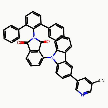 N#Cc1cncc(-c2ccc3c(c2)c2ccccc2n3-c2cccc3c2C(=O)N(c2c(-c4ccccc4)cccc2-c2ccccc2)C3=O)c1